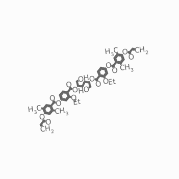 C=CC(=O)Oc1cc(C)c(C(=O)Oc2ccc(C(=O)O[C@@H]3CO[C@H]4[C@@H]3OC[C@H]4OC(=O)c3ccc(OC(=O)c4cc(C)c(OC(=O)C=C)cc4C)cc3OCC)c(OCC)c2)cc1C